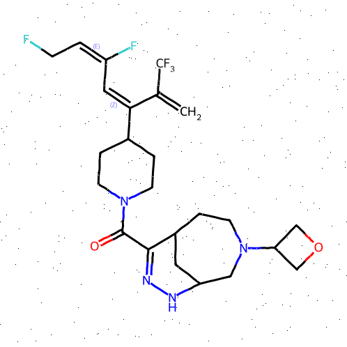 C=C(/C(=C\C(F)=C/CF)C1CCN(C(=O)C2=NNC3CC2CCN(C2COC2)C3)CC1)C(F)(F)F